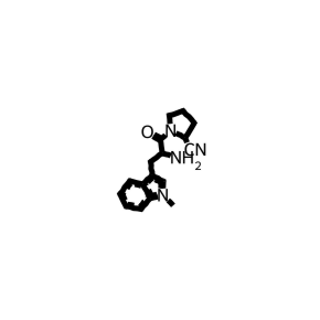 Cn1cc(CC(N)C(=O)N2CCCC2C#N)c2ccccc21